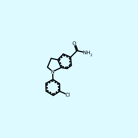 NC(=O)c1ccc2c(c1)CCN2c1cccc(Cl)c1